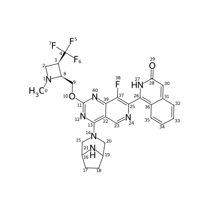 CN1C[C@@H](C(F)(F)F)[C@H]1COc1nc(N2CC3CCC(C2)N3)c2cnc(-c3[nH]c(=O)cc4ccccc34)c(F)c2n1